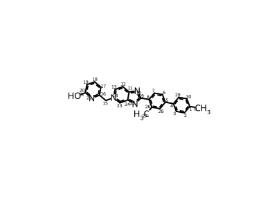 Cc1ccc(-c2ccc(-c3nc4ccn(Cc5cccc(O)n5)cc-4n3)c(C)c2)cc1